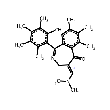 Cc1cc2c(c(C)c1C)C(=O)/C(=C/N(C)C)CN=C2c1c(C)c(C)c(C)c(C)c1C